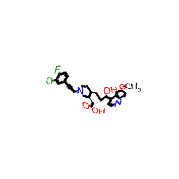 COc1ccc2nccc([C@H](O)CC[C@@H]3CCN(CC#Cc4ccc(F)c(Cl)c4)C[C@@H]3CC(=O)O)c2c1